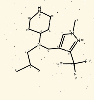 CC(C)CN(Cc1cn(C)nc1C(F)(F)F)C1CCNCC1